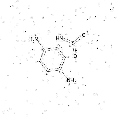 N=S(=O)=O.Nc1ccc(N)cc1